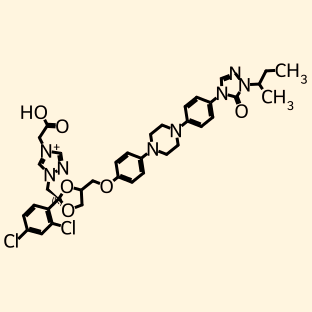 CCC(C)n1ncn(-c2ccc(N3CCN(c4ccc(OCC5CO[C@](Cn6c[n+](CC(=O)O)cn6)(c6ccc(Cl)cc6Cl)O5)cc4)CC3)cc2)c1=O